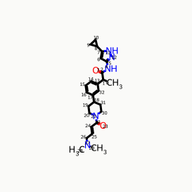 CC(C(=O)Nc1cc(C2CC2)[nH]n1)c1cccc(C2CCN(C(=O)C=CCN(C)C)CC2)c1